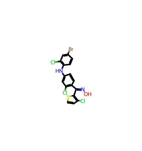 ON=C(c1ccc(Nc2ccc(Br)cc2Cl)cc1Cl)c1sccc1Cl